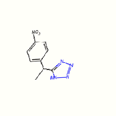 CC(c1ccc([N+](=O)[O-])cc1)c1nnn[nH]1